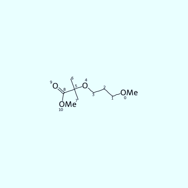 COCCCOC(C)(C)C(=O)OC